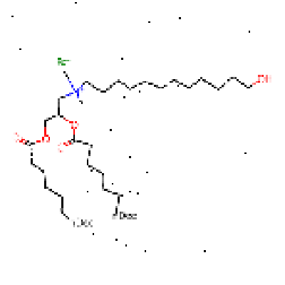 CCCCCCCCCCCCCCCC(=O)OCC(C[N+](C)(C)CCCCCCCCCCCCO)OC(=O)CCCCCCCCCCCCCCC.[Br-]